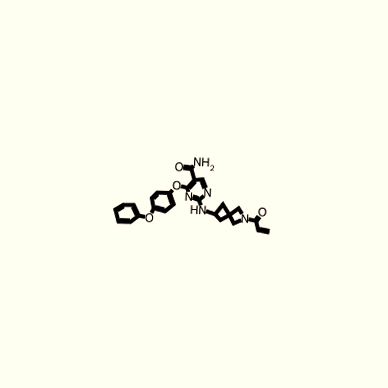 C=CC(=O)N1CC2(CC(Nc3ncc(C(N)=O)c(Oc4ccc(Oc5ccccc5)cc4)n3)C2)C1